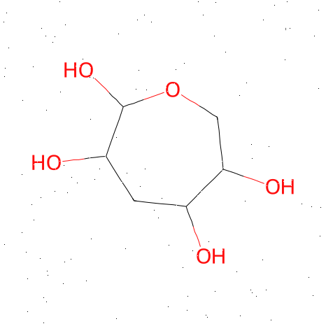 OC1COC(O)C(O)CC1O